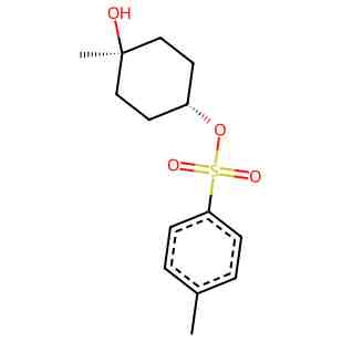 Cc1ccc(S(=O)(=O)O[C@H]2CC[C@](C)(O)CC2)cc1